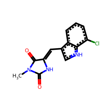 CN1C(=O)N/C(=C\c2c[nH]c3c(Cl)cccc23)C1=O